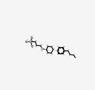 CCCCc1ccc([C@H]2CC[C@H](OCCC[Si](Br)(Br)Br)CC2)cc1